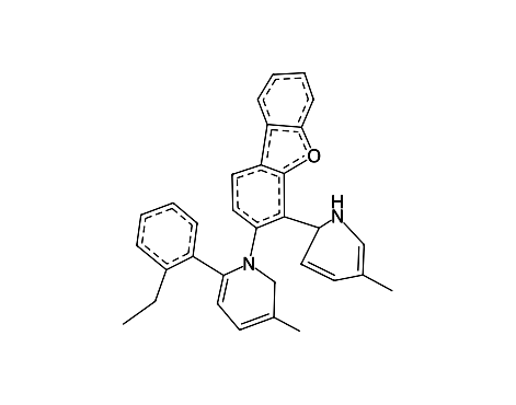 CCc1ccccc1C1=CC=C(C)CN1c1ccc2c(oc3ccccc32)c1C1C=CC(C)=CN1